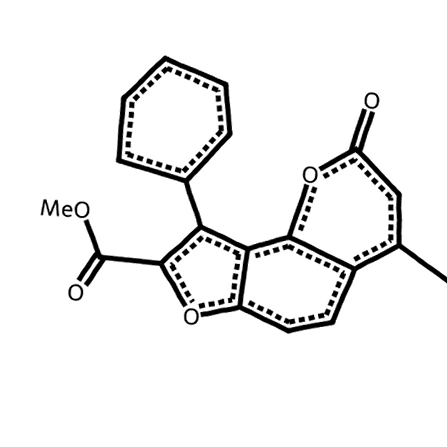 COC(=O)c1oc2ccc3c(C)cc(=O)oc3c2c1-c1ccccc1